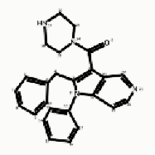 O=C(c1c(Cc2ccccc2)n(-c2ccccc2)c2ccncc12)N1CCNCC1